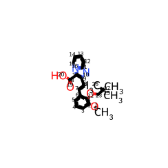 COc1cccc(C=Cc2nc3ccccn3c2C(=O)O)c1OCC(C)(C)C